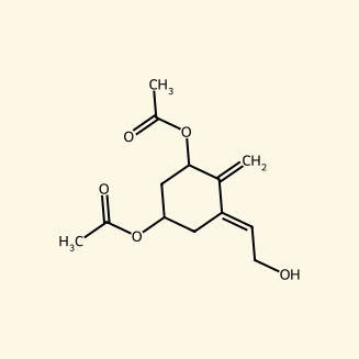 C=C1C(=CCO)CC(OC(C)=O)CC1OC(C)=O